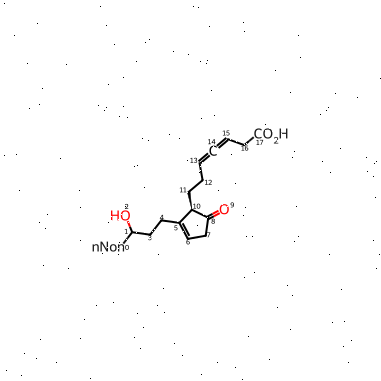 CCCCCCCCCC(O)CCC1=CCC(=O)[C@@H]1CCC=C=CCC(=O)O